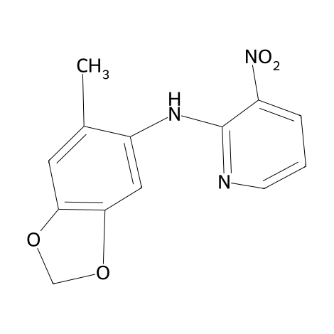 Cc1cc2c(cc1Nc1ncccc1[N+](=O)[O-])OCO2